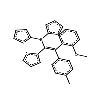 COc1ccccc1/C(=C(\B(c1cccs1)c1cccs1)c1cccs1)c1ccc(C)cc1